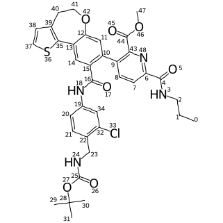 CCCNC(=O)c1ccc(-c2cc3c(cc2C(=O)Nc2ccc(CNC(=O)OC(C)(C)C)c(Cl)c2)-c2sccc2CCO3)c(C(=O)OC)n1